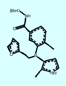 CONC(=O)c1ccc(C)c(N(Cc2ccco2)c2cc[nH]c2C)c1